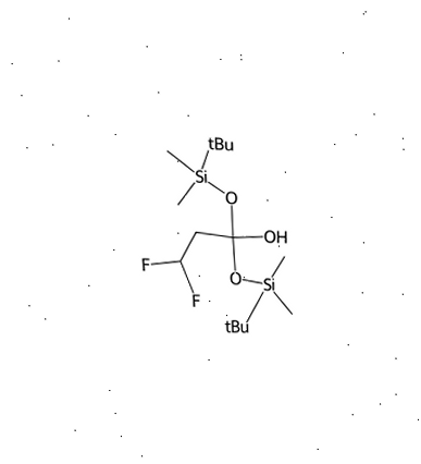 CC(C)(C)[Si](C)(C)OC(O)(CC(F)F)O[Si](C)(C)C(C)(C)C